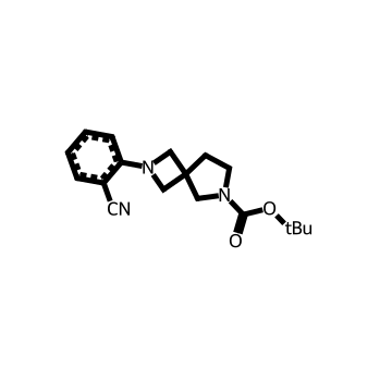 CC(C)(C)OC(=O)N1CCC2(C1)CN(c1ccccc1C#N)C2